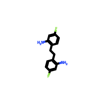 Nc1cc(F)ccc1CCc1ccc(F)cc1N